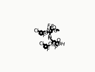 CCOC(=O)c1cc(C#N)c(OCc2cc(Cl)ccc2F)nc1C(F)F.N#Cc1cc(C(=O)O)c(C(F)F)nc1OCc1cc(Cl)ccc1F